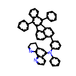 C1=Nc2c(cc(N(c3ccccc3)c3cccc(-c4ccc5c6c(cccc46)-c4c-5c(-c5ccccc5)c5ccccc5c4-c4ccccc4)c3)c3cccnc23)CC1